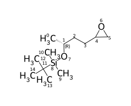 C[C@H](CCC1CO1)O[Si](C)(C)C(C)(C)C